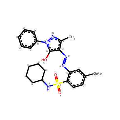 COc1ccc(S(=O)(=O)NC2CCCCC2)c(/N=N/c2c(C)nn(-c3ccccc3)c2O)c1